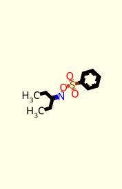 CCC(CC)=NOS(=O)(=O)c1ccccc1